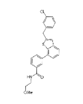 COCCNC(=O)c1cccc(-c2cccc3cc(Cc4cccc(Cl)c4)sc23)c1